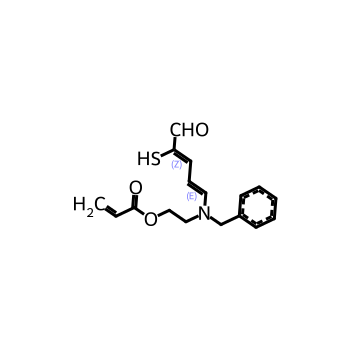 C=CC(=O)OCCN(/C=C/C=C(\S)C=O)Cc1ccccc1